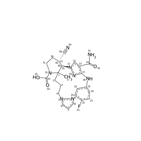 CC1(CCCn2cccn2)[C@H](n2cc(C(N)=O)c(Nc3ccc(F)cc3)n2)[C@@H](C#N)CCN1C(=O)O